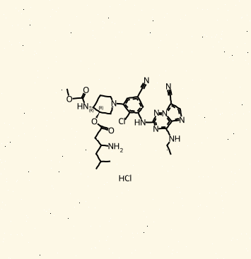 CCNc1nc(Nc2cc(C#N)cc(N3CC[C@@H](NC(=O)OC)[C@H](OC(=O)CC(N)CC(C)C)C3)c2Cl)nn2c(C#N)cnc12.Cl